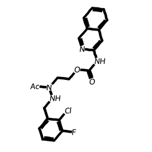 CC(=O)N(CCOC(=O)Nc1cc2ccccc2cn1)NCc1cccc(F)c1Cl